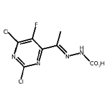 C/C(=N\NC(=O)O)c1nc(Cl)nc(Cl)c1F